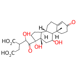 C[C@]12CCC(=O)C=C1CC[C@@H]1[C@@H]2[C@@H](O)C[C@@]2(C)[C@H]1CC[C@]2(O)C(=O)C(O)C(CC(=O)O)C(=O)O